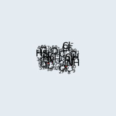 C1=C[CH]([Hf+]([NH]C2CCCCC2)[SiH](c2ccccc2)c2ccccc2)c2ccccc21.C1=C[CH]([Hf+]([NH]C2CCCCC2)[SiH](c2ccccc2)c2ccccc2)c2ccccc21.[Cl-].[Cl-]